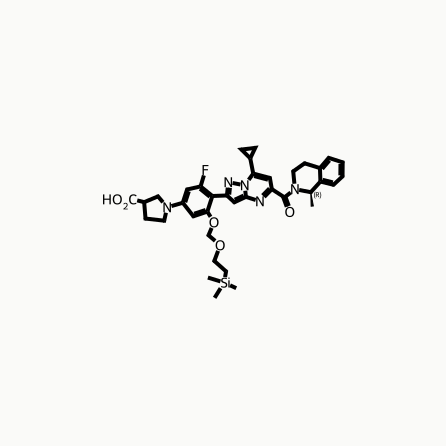 C[C@@H]1c2ccccc2CCN1C(=O)c1cc(C2CC2)n2nc(-c3c(F)cc(N4CCC(C(=O)O)C4)cc3OCOCC[Si](C)(C)C)cc2n1